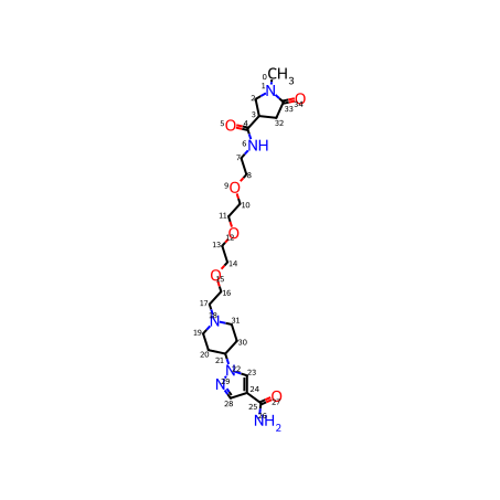 CN1CC(C(=O)NCCOCCOCCOCCN2CCC(n3cc(C(N)=O)cn3)CC2)CC1=O